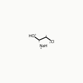 OCCCl.[NaH]